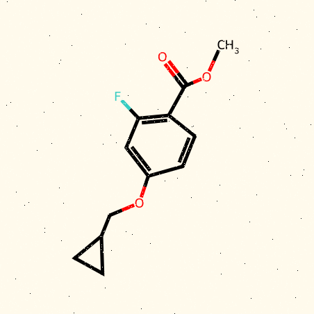 COC(=O)c1ccc(OCC2CC2)cc1F